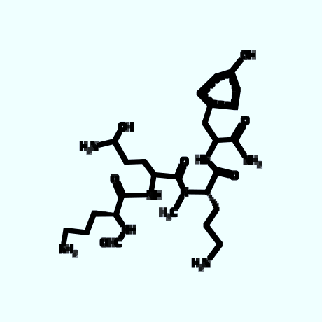 CN(C(=O)C(CCC(N)O)NC(=O)[C@H](CCCN)NC=O)[C@@H](CCCN)C(=O)NC(Cc1ccc(O)cc1)C(N)=O